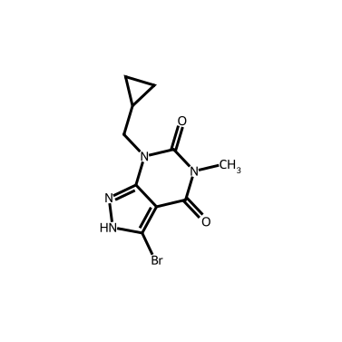 Cn1c(=O)c2c(Br)[nH]nc2n(CC2CC2)c1=O